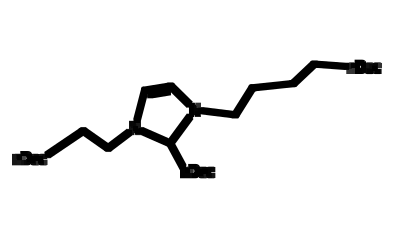 CCCCCCCCCCCCCCN1C=CN(CCCCCCCCCCCC)C1CCCCCCCCCC